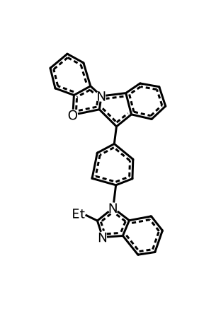 CCc1nc2ccccc2n1-c1ccc(-c2c3ccccc3n3c2oc2ccccc23)cc1